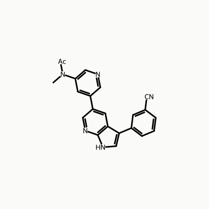 CC(=O)N(C)c1cncc(-c2cnc3[nH]cc(-c4cccc(C#N)c4)c3c2)c1